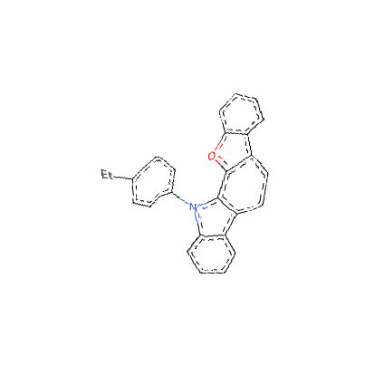 CCc1ccc(-n2c3ccccc3c3ccc4c5ccccc5oc4c32)cc1